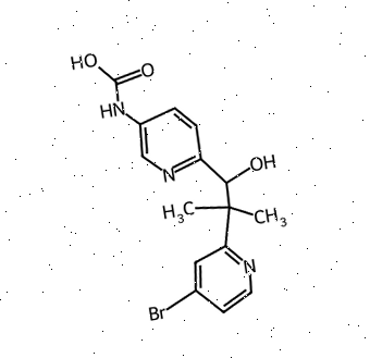 CC(C)(c1cc(Br)ccn1)C(O)c1ccc(NC(=O)O)cn1